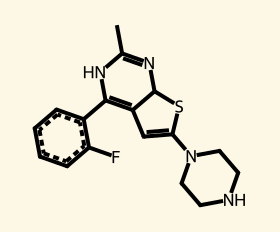 CC1=NC2SC(N3CCNCC3)=CC2=C(c2ccccc2F)N1